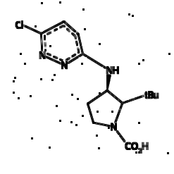 CC(C)(C)C1[C@H](Nc2ccc(Cl)nn2)CCN1C(=O)O